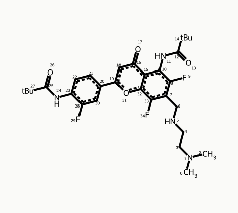 CN(C)CCNCc1c(F)c(NC(=O)C(C)(C)C)c2c(=O)cc(-c3ccc(NC(=O)C(C)(C)C)c(F)c3)oc2c1F